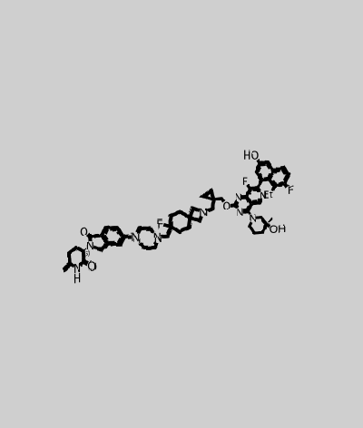 C=C1CC[C@H](N2Cc3cc(N4CCN(CC5(F)CCC6(CC5)CN(CC5(COc7nc(N8CCC[C@@](C)(O)C8)c8cnc(-c9cc(O)cc%10ccc(F)c(CC)c9%10)c(F)c8n7)CC5)C6)CC4)ccc3C2=O)C(=O)N1